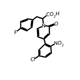 O=C(O)C(Cc1ccc(F)cc1)n1ccc(-c2cc(Cl)ccc2[N+](=O)[O-])cc1=O